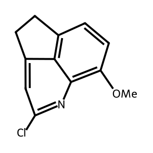 COc1ccc2c3c(cc(Cl)nc13)CC2